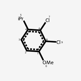 COc1ccc(C(C)C)c(Cl)c1Cl